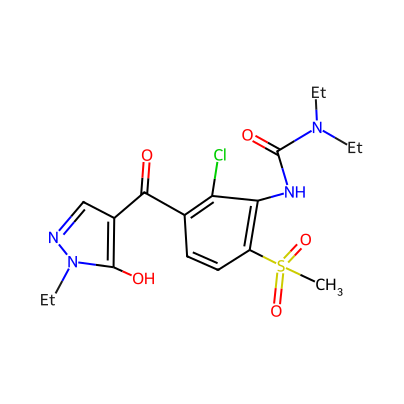 CCN(CC)C(=O)Nc1c(S(C)(=O)=O)ccc(C(=O)c2cnn(CC)c2O)c1Cl